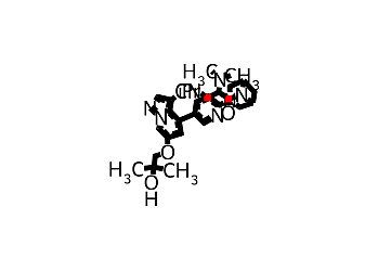 CC(C)CC(C(=O)N1C2CC1CN(c1ccc(-c3cc(OCC(C)(C)O)cn4ncc(C#N)c34)cn1)C2)N(C)C